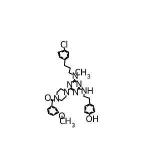 COc1cccc(C(=O)N2CCN(c3nc(NCCc4ccc(O)cc4)nc(N(C)CCCc4ccc(Cl)cc4)n3)CC2)c1